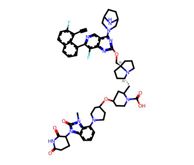 C#Cc1c(F)ccc2cccc(-c3ncc4c(N5CC6CCC(C5)N6)nc(OC[C@@]56CCCN5[C@H](CC5CC(OC7CCN(c8cccc9c8n(C)c(=O)n9C8CCC(=O)NC8=O)CC7)CCN5C(=O)O)CC6)nc4c3F)c12